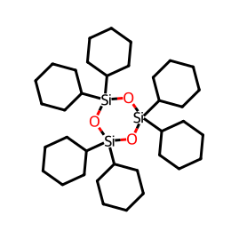 C1CCC([Si]2(C3CCCCC3)O[Si](C3CCCCC3)(C3CCCCC3)O[Si](C3CCCCC3)(C3CCCCC3)O2)CC1